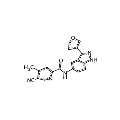 Cc1cc(C(=O)Nc2ccc3[nH]nc(-c4ccoc4)c3c2)ncc1C#N